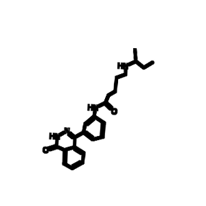 CCC(C)NCCCCC(=O)Nc1cccc(-c2n[nH]c(=O)c3ccccc23)c1